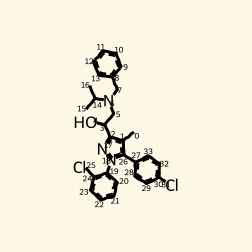 Cc1c(C(O)CN(Cc2ccccc2)C(C)C)nn(-c2ccccc2Cl)c1-c1ccc(Cl)cc1